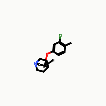 Cc1ccc(O[C@H]2CN3CCC2CC3)cc1Cl